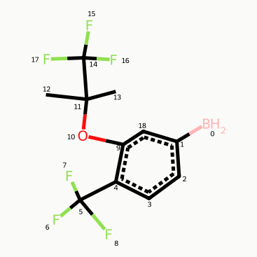 Bc1ccc(C(F)(F)F)c(OC(C)(C)C(F)(F)F)c1